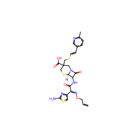 C=CCON=C(C(=O)NC1C(=O)N2CC(CSC=Cc3ccc(C)nc3)(C(=O)O)CS[C@H]12)c1csc(N)n1